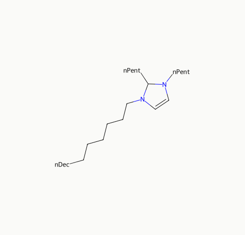 CCCCCCCCCCCCCCCCN1C=CN(CCCCC)C1CCCCC